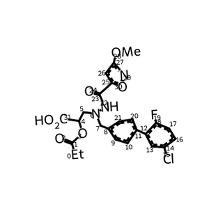 CCC(=O)OC(CN(Cc1ccc(-c2cc(Cl)ccc2F)cc1)NC(=O)c1cc(OC)no1)C(=O)O